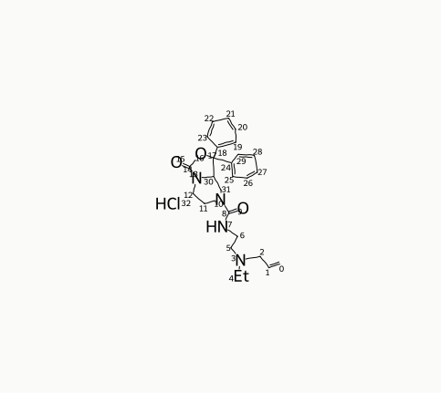 C=CCN(CC)CCNC(=O)N1CCN2C(=O)OC(c3ccccc3)(c3ccccc3)C2C1.Cl